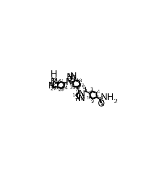 CC(c1ccc(C(N)=O)cc1)n1nccc1-c1ccc2nnn(-c3ccc4cn[nH]c4c3)c2c1